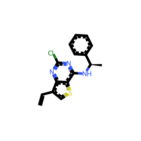 C=Cc1csc2c(N[C@H](C)c3ccccc3)nc(Cl)nc12